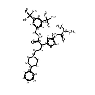 CN(C)C(=O)Nc1nc(C(CCN2CCC(c3ccccc3)CC2)C(=O)NCc2cc(C(F)(F)F)cc(C(F)(F)F)c2)cs1